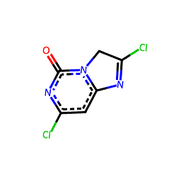 O=c1nc(Cl)cc2n1CC(Cl)=N2